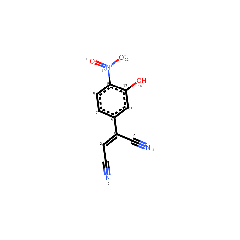 N#CC=C(C#N)c1ccc([N+](=O)[O-])c(O)c1